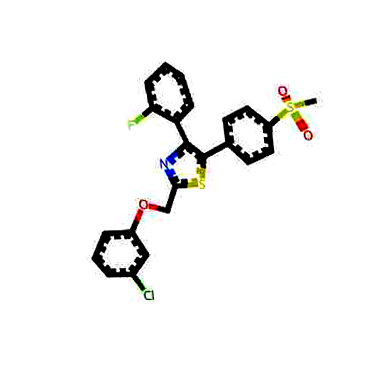 CS(=O)(=O)c1ccc(-c2sc(COc3cccc(Cl)c3)nc2-c2ccccc2F)cc1